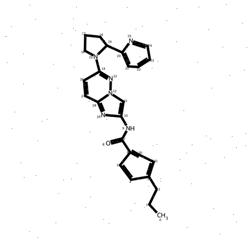 CCCc1ccc(C(=O)Nc2cn3nc(N4CCCC4c4ccccn4)ccc3n2)cc1